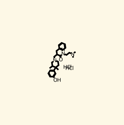 CC1CN(CC(Cc2ccccc2)C(=O)NCCN(C)C)CCC1(C)c1cccc(O)c1.Cl.Cl